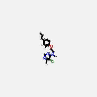 CCCc1ccc(OCCN(C)c2ncnc(C)c2Cl)c(C)c1